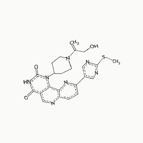 C=C(CO)N1CCC(n2c(=O)[nH]c(=O)c3cnc4ccc(-c5cnc(SC)nc5)nc4c32)CC1